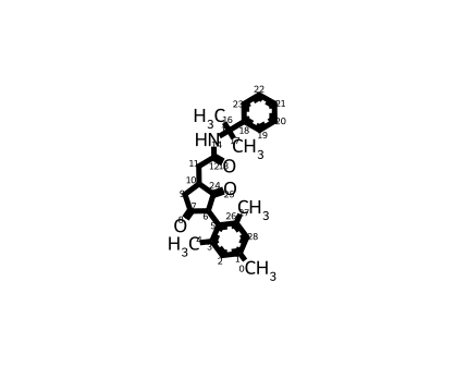 Cc1cc(C)c(C2C(=O)CC(CC(=O)NC(C)(C)c3ccccc3)C2=O)c(C)c1